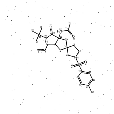 C=CCC1CC2(CCN(S(=O)(=O)c3ccc(C)cc3)C2)CC1(NC(C)=O)C(=O)NC(C)(C)C